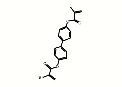 C=C(C)C(=O)Oc1ccc(-c2ccc(OC(=O)C(=C)CC)cc2)cc1